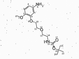 COc1ccc(N)cc1OCCOCCNC(=O)OC(C)(C)C